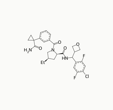 CC[C@@H]1C[C@H](C(=O)NC(c2cc(F)c(Cl)cc2F)C2COC2)N(C(=O)c2cccc(C3(C(N)=O)CC3)c2)C1